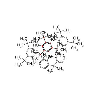 CC(C)(C)c1cc(C(c2cc(C(C)(C)C)cc(C(C)(C)C)c2O)c2cccc3c2Oc2c(C(c4cc(C(C)(C)C)cc(C(C)(C)C)c4O)c4cc(C(C)(C)C)cc(C(C)(C)C)c4O)cccc2C3(C)C)c(O)c(C(C)(C)C)c1